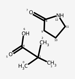 CC(C)(C)C(=O)O.O=C1CCCN1